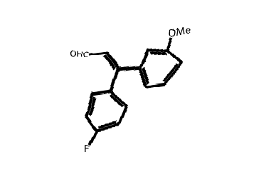 COc1cccc(C(=CC=O)c2ccc(F)cc2)c1